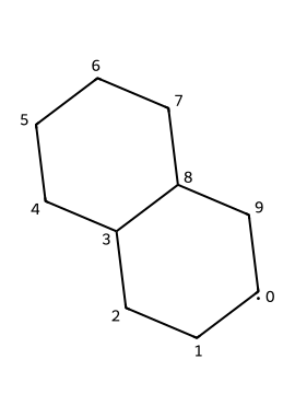 [CH]1CCC2CCCCC2C1